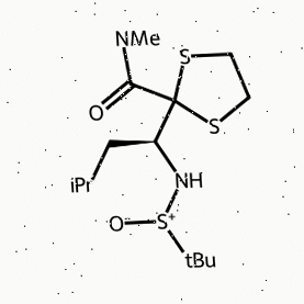 CNC(=O)C1([C@H](CC(C)C)N[S+]([O-])C(C)(C)C)SCCS1